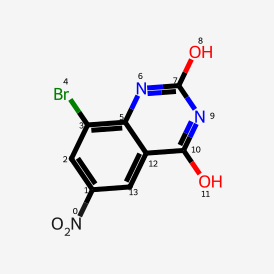 O=[N+]([O-])c1cc(Br)c2nc(O)nc(O)c2c1